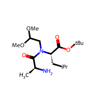 COC(CN(C(=O)[C@H](C)N)[C@@H](CC(C)C)C(=O)OC(C)(C)C)OC